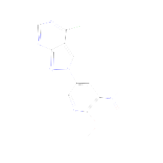 COc1ncc(-n2cc3c(Cl)ncnc3n2)cc1[N+](=O)[O-]